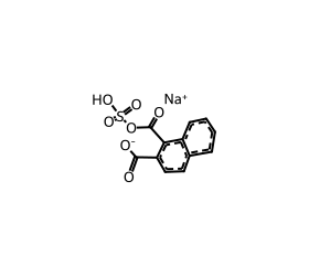 O=C([O-])c1ccc2ccccc2c1C(=O)OS(=O)(=O)O.[Na+]